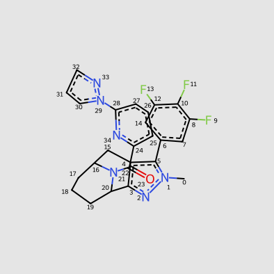 Cn1nc2c(c1-c1cc(F)c(F)c(F)c1)CC1CCCC2N1C(=O)c1cccc(-n2cccn2)n1